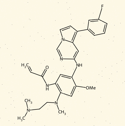 C=CC(=O)Nc1cc(Nc2cc3c(-c4cccc(F)c4)ccn3cn2)c(OC)cc1N(C)CCN(C)C